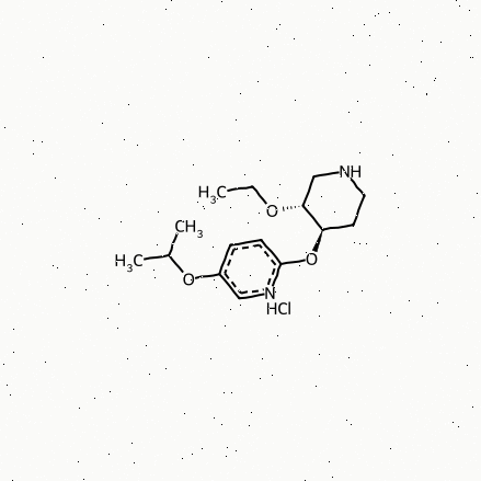 CCO[C@@H]1CNCC[C@H]1Oc1ccc(OC(C)C)cn1.Cl